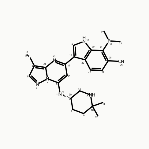 CC(C)c1cnn2c(N[C@H]3CCC(C)(C)NC3)cc(-c3c[nH]c4c(P(C)C)c(C#N)ccc34)nc12